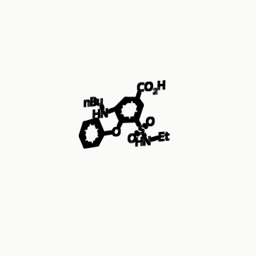 CCCCNc1cc(C(=O)O)cc(S(=O)(=O)NCC)c1Oc1ccccc1